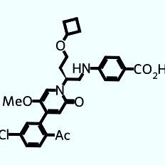 COc1cn([C@@H](CCOC2CCC2)CNc2ccc(C(=O)O)cc2)c(=O)cc1-c1cc(Cl)ccc1C(C)=O